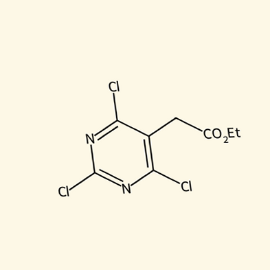 CCOC(=O)Cc1c(Cl)nc(Cl)nc1Cl